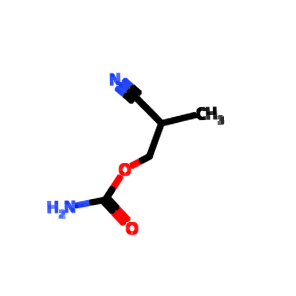 CC(C#N)COC(N)=O